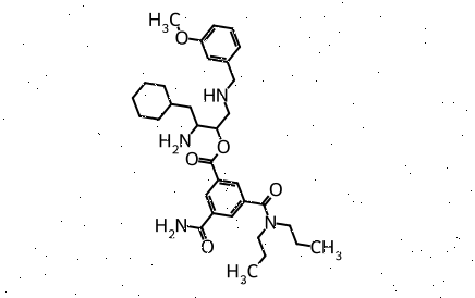 CCCN(CCC)C(=O)c1cc(C(N)=O)cc(C(=O)OC(CNCc2cccc(OC)c2)C(N)CC2CCCCC2)c1